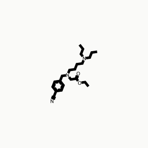 CCCN(CCC)CCCCN(CC(=O)OCC)Cc1ccc(C#N)cc1